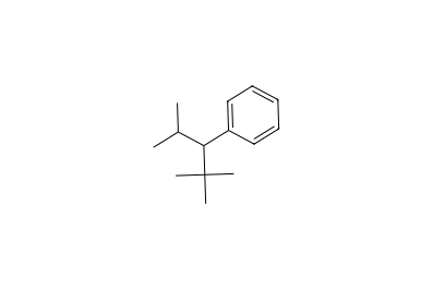 CC(C)C(c1ccccc1)C(C)(C)C